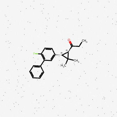 CCC(=O)[C@@H]1[C@@H](c2ccc(F)c(-c3ccccc3)c2)C1(C)C